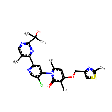 Cc1nc(COc2cc(C)n(-c3cc(-c4nc(C(C)(C)O)ncc4C)ncc3Cl)c(=O)c2C)cs1